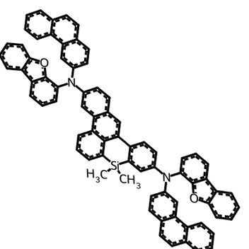 C[Si]1(C)c2cc(N(c3ccc4ccc5ccccc5c4c3)c3cccc4c3oc3ccccc34)ccc2-c2cc3ccc(N(c4ccc5ccc6ccccc6c5c4)c4cccc5c4oc4ccccc45)cc3c3cccc1c23